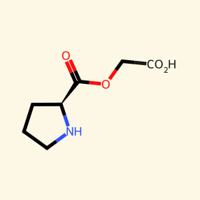 O=C(O)COC(=O)[C@@H]1CCCN1